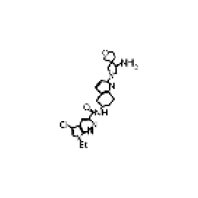 CCn1cc(Cl)c2cc(C(=O)NC3CCc4nc(N5CC(N)C6(CCOC6)C5)ccc4C3)nnc21